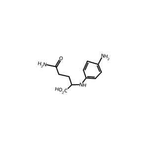 NC(=O)CCC(Nc1ccc(N)cc1)C(=O)O